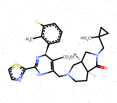 CCOC(=O)C1=C(CN2CC[C@]3(F)C(=O)N(CC4(C(=O)O)CC4)C[C@@H]3C2)NC(c2nccs2)=N[C@H]1c1cccc(F)c1C